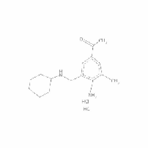 CC(=O)c1cc(C)c(N)c(CNC2CCCCC2)c1.Cl.Cl